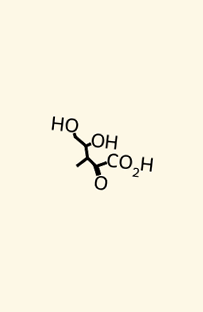 CC(C(=O)C(=O)O)C(O)CO